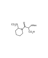 CCCCCCC(C(=O)O)C(=O)N1CCCCC1C(=O)OCC